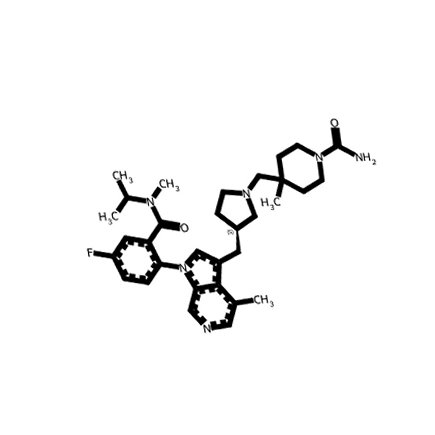 Cc1cncc2c1c(C[C@H]1CCN(CC3(C)CCN(C(N)=O)CC3)C1)cn2-c1ccc(F)cc1C(=O)N(C)C(C)C